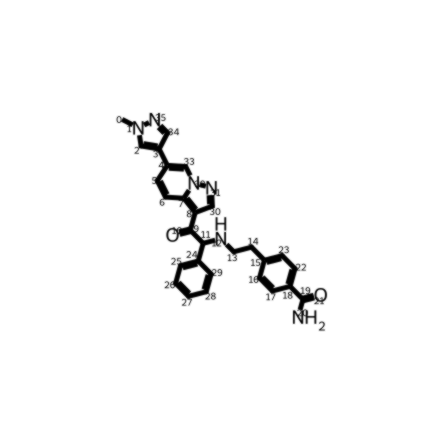 Cn1cc(-c2ccc3c(C(=O)C(NCCc4ccc(C(N)=O)cc4)c4ccccc4)cnn3c2)cn1